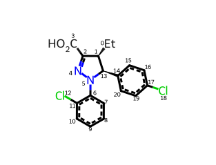 CC[C@@H]1C(C(=O)O)=NN(c2ccccc2Cl)[C@@H]1c1ccc(Cl)cc1